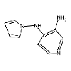 Nc1cnccc1Nn1cccc1